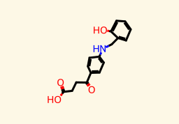 O=C(O)CCC(=O)c1ccc(NCc2ccccc2O)cc1